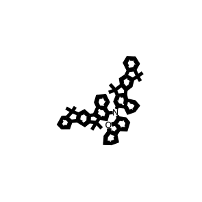 CC1(C)c2ccccc2-c2cc3c(cc21)-c1c(cc(N(c2cc4c(c5ccccc25)-c2cc5c(cc2C4(C)C)-c2ccccc2C5(C)C)c2cccc4c2oc2ccccc24)c2ccccc12)C3(C)C